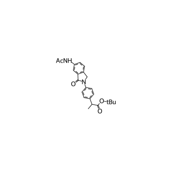 CC(=O)Nc1ccc2c(c1)C(=O)N(c1ccc(C(C)C(=O)OC(C)(C)C)cc1)C2